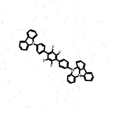 Fc1c(F)c(-c2ccc(-n3c4ccccc4c4ccccc43)cc2)c(F)c(F)c1-c1ccc(N2c3ccccc3-n3c4ccccc4c4cccc2c43)cc1